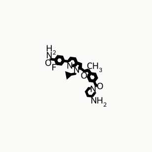 Cc1c(-c2cc3ccc(-c4ccc(C(N)=O)c(F)c4)nc3n2CC2CC2)oc2cc(C(=O)N3CCCC(N)C3)ccc12